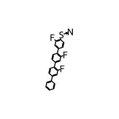 N#CSc1ccc(-c2ccc(-c3ccc(-c4ccccc4)cc3F)cc2F)cc1F